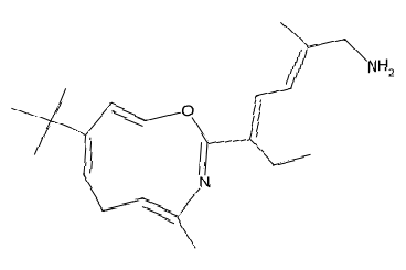 CCC(=C\C=C(/C)CN)/C1=N/C(C)=C/CC=C(C(C)(C)C)/C=C/O1